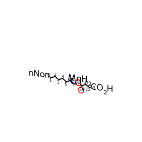 CCCCCCCCCCCCCC/C=C/OC(=O)CCC(=O)O.[MgH2]